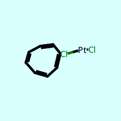 C1=CC=CC=CC=C1.[Cl][Pt][Cl]